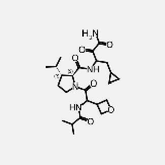 CC(C)C(=O)NC(C(=O)N1CC[C@H](C(C)C)[C@H]1C(=O)NC(CC1CC1)C(=O)C(N)=O)C1COC1